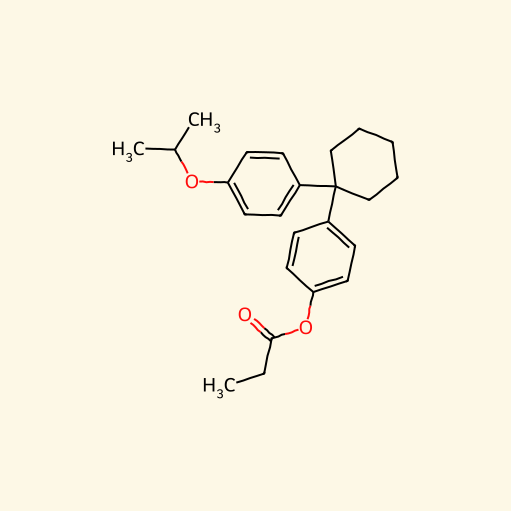 CCC(=O)Oc1ccc(C2(c3ccc(OC(C)C)cc3)CCCCC2)cc1